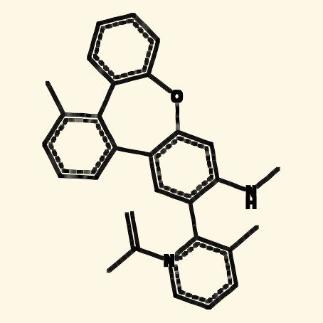 C=C(C)[n+]1cccc(C)c1-c1cc2c(cc1NC)Oc1ccccc1-c1c(C)cccc1-2